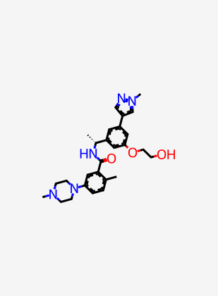 Cc1ccc(N2CCN(C)CC2)cc1C(=O)N[C@H](C)c1cc(OCCO)cc(-c2cnn(C)c2)c1